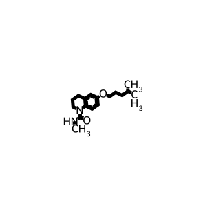 CNC(=O)N1CCCc2cc(OCCCC(C)C)ccc21